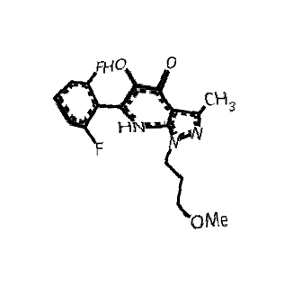 COCCCn1nc(C)c2c(=O)c(O)c(-c3c(F)cccc3F)[nH]c21